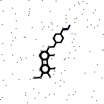 C/C=C/C1CCC(COc2ccc3c(c2F)-c2c-3cc(OCC)c(F)c2F)CC1